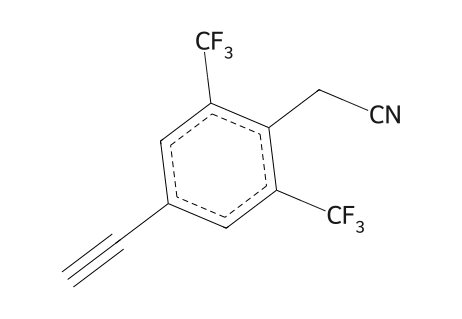 C#Cc1cc(C(F)(F)F)c(CC#N)c(C(F)(F)F)c1